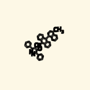 Cc1ccc(-c2c3ccccc3c(B3Oc4c(-c5ccccc5)nnc(-c5ccccc5)c4O3)c3ccccc23)c2ccccc12